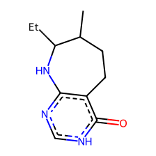 CCC1Nc2nc[nH]c(=O)c2CCC1C